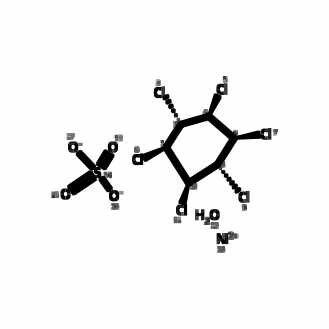 Cl[C@H]1[C@H](Cl)[C@@H](Cl)[C@@H](Cl)[C@H](Cl)[C@H]1Cl.O.O=S(=O)([O-])[O-].[Ni+2]